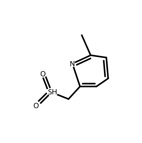 Cc1cccc(C[SH](=O)=O)n1